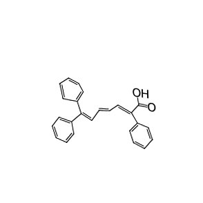 O=C(O)/C(=C/C=C/C=C(c1ccccc1)c1ccccc1)c1ccccc1